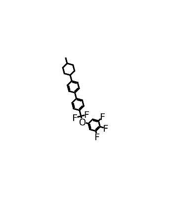 CC1CCC(c2ccc(-c3ccc(C(F)(F)Oc4cc(F)c(F)c(F)c4)cc3)cc2)CC1